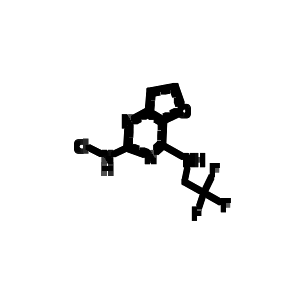 FC(F)(F)CNc1nc(NCl)nc2ccoc12